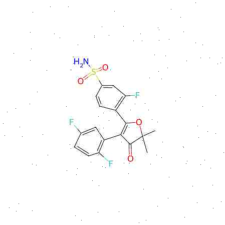 CC1(C)OC(c2ccc(S(N)(=O)=O)cc2F)=C(c2cc(F)ccc2F)C1=O